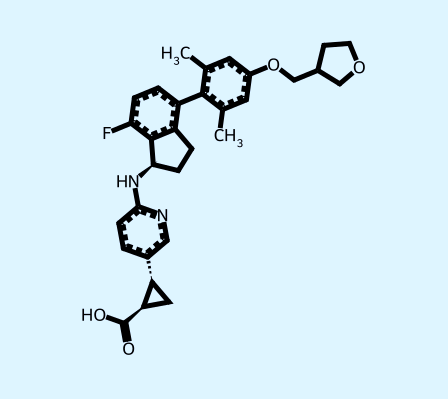 Cc1cc(OCC2CCOC2)cc(C)c1-c1ccc(F)c2c1CC[C@H]2Nc1ccc([C@@H]2C[C@H]2C(=O)O)cn1